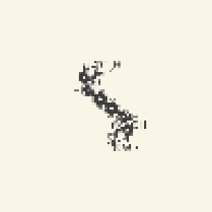 COC(=O)N[C@@H](C)C(=O)N1CC[C@H](O)[C@H]1c1nc(-c2ccc(-c3ccc(-c4c[nH]c([C@@H]5CCCN5C(=O)[C@H](C)NC(=O)O)n4)cc3)cc2)c[nH]1